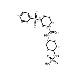 CS(=O)(=O)N[C@H]1CC[C@H](NC(=O)[C@H]2CCCN(S(=O)(=O)c3ccccc3)C2)CC1